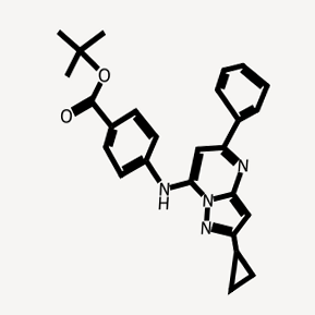 CC(C)(C)OC(=O)c1ccc(Nc2cc(-c3ccccc3)nc3cc(C4CC4)nn23)cc1